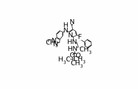 CCn1ncc2cc(Nc3nc(N[C@H](Cc4ccccc4)[C@H](C)NC(=O)OC(C)(C)C)c(F)cc3C#N)ccc21